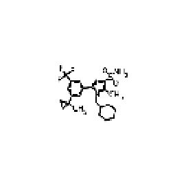 Cc1c(S(N)(=O)=O)cc(-c2cc(C(F)(F)F)cc(C3(C)CC3)c2)n1CC1CCCCC1